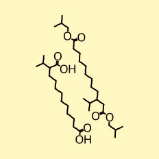 CC(C)C(CCCCCCCCCC(=O)O)C(=O)O.CC(C)COC(=O)CCCCCCCCC(CC(=O)OCC(C)C)C(C)C